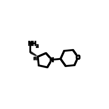 NC[C@H]1CCN(C2CCOCC2)C1